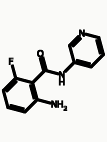 Nc1cccc(F)c1C(=O)Nc1cccnc1